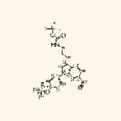 CC(C)(C)OC(=O)NCCCc1cn(-c2ccc(OC(F)(F)F)cc2)c2cc(C=O)ccc12